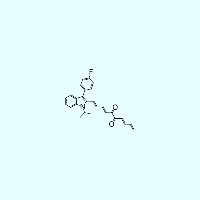 C=CC=CC(=O)C(=O)C=CC=Cc1c(-c2ccc(F)cc2)c2ccccc2n1C(C)C